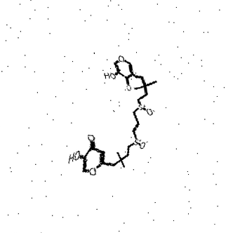 CC(C)(CC[S+]([O-])CCC[S+]([O-])CCC(C)(C)Cc1cocc(O)c1=O)Cc1cc(=O)c(O)co1